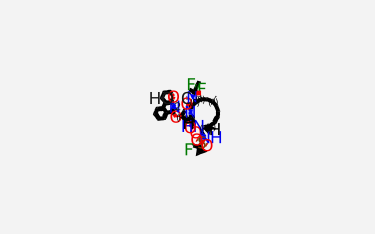 C[C@@H]1CCC=C[C@@H]2C[C@@]2(C(=O)NS(=O)(=O)C2(CF)CC2)NC(=O)[C@@H]2C[C@@H](Oc3nc4c(c5ccccc35)CCCO4)CN2C(=O)[C@@H](N(C(=O)O)C(C)(C)C(C)(F)F)[C@H](C)C1